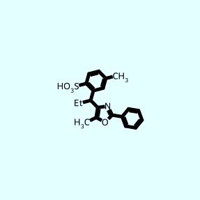 CCC(c1cc(C)ccc1S(=O)(=O)O)c1nc(-c2ccccc2)oc1C